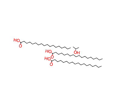 CC(C)O.CCCCCCCCCCCCCCCCCC(=O)O.CCCCCCCCCCCCCCCCCC(=O)O.CCCCCCCCCCCCCCCCCC(=O)O